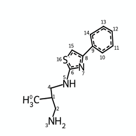 CC(CN)CNc1nc(-c2ccccc2)cs1